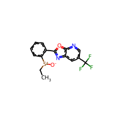 CC[S+]([O-])c1ccccc1-c1nc2cc(C(F)(F)F)cnc2o1